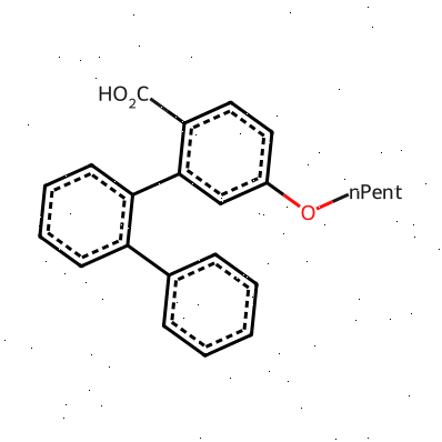 CCCCCOc1ccc(C(=O)O)c(-c2ccccc2-c2ccccc2)c1